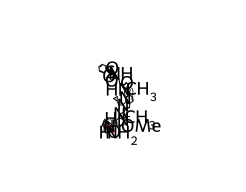 COc1cc(C(=O)N2[C@H]3CC[C@@H]2[C@H](N)C3)cc2nc(-c3cc4ccc([C@@H](C)NC(=O)CCC(=O)NS(=O)(=O)c5ccccc5)nc4n3CC3CC3)c(C)n12